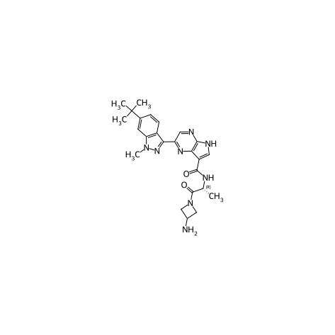 C[C@@H](NC(=O)c1c[nH]c2ncc(-c3nn(C)c4cc(C(C)(C)C)ccc34)nc12)C(=O)N1CC(N)C1